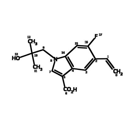 C=Cc1cc2c(C(=O)O)cn(CC(C)(C)O)c2cc1F